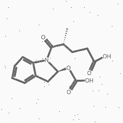 C[C@H](CCC(=O)O)C(=O)N1c2ccccc2C[C@@H]1OC(=O)O